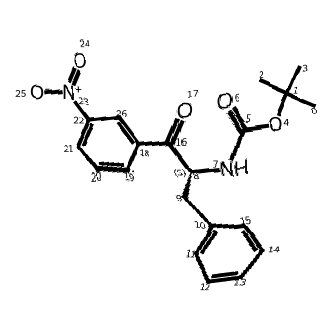 CC(C)(C)OC(=O)N[C@@H](Cc1ccccc1)C(=O)c1[c]ccc([N+](=O)[O-])c1